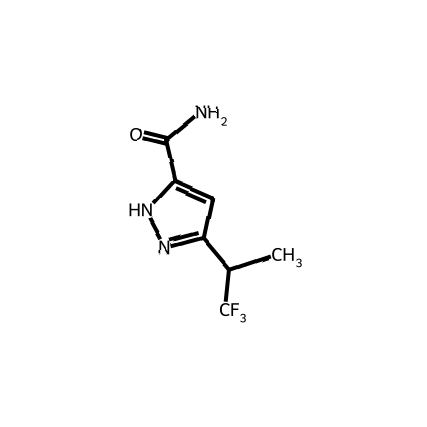 CC(c1cc(C(N)=O)[nH]n1)C(F)(F)F